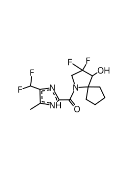 Cc1[nH]c(C(=O)N2CC(F)(F)C(O)C23CCCC3)nc1C(F)F